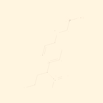 CCCC(c1ccc(OCC(=O)O)cc1)[N+](=O)[O-]